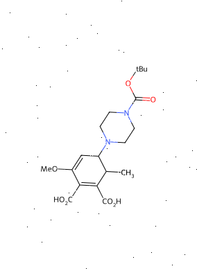 COC1=CC(N2CCN(C(=O)OC(C)(C)C)CC2)C(C)C(C(=O)O)=C1C(=O)O